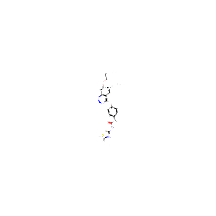 COCCOc1cc2ncnc(Oc3ccc(CC(=O)Nc4nc(C)cs4)cc3)c2cc1OC